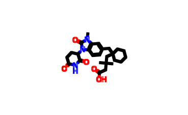 Cn1c(=O)n(C2CCC(=O)NC2=O)c2ccc(CC3(CC(C)(C)CC(=O)O)CCCCC3)cc21